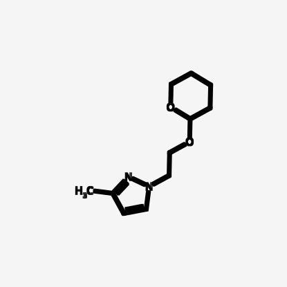 Cc1ccn(CCOC2CCCCO2)n1